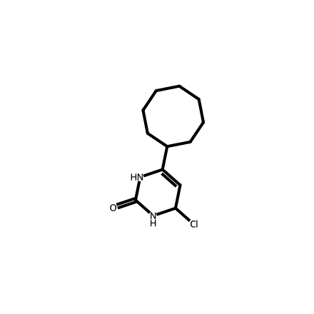 O=C1NC(C2CCCCCCC2)=CC(Cl)N1